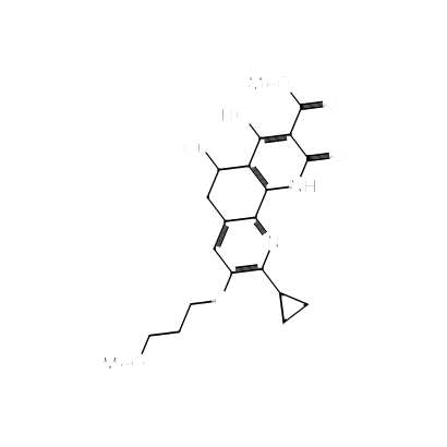 COCCCOc1cc2c(nc1C1CC1)-c1[nH]c(=O)c(C(=O)OC)c(O)c1C(C(C)C)C2